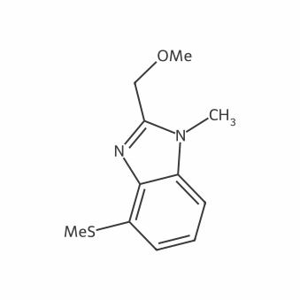 COCc1nc2c(SC)cccc2n1C